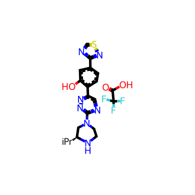 CC(C)[C@H]1CN(c2ncc(-c3ccc(-c4ncsn4)cc3O)nn2)CCN1.O=C(O)C(F)(F)F